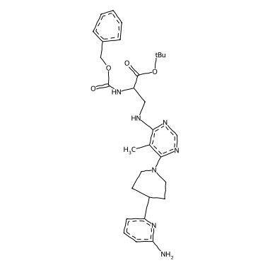 Cc1c(NCC(NC(=O)OCc2ccccc2)C(=O)OC(C)(C)C)ncnc1N1CCC(c2cccc(N)n2)CC1